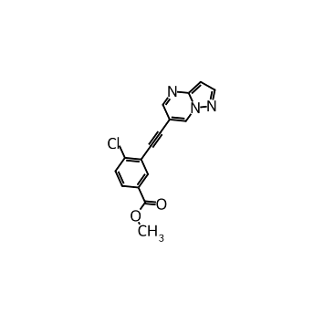 COC(=O)c1ccc(Cl)c(C#Cc2cnc3ccnn3c2)c1